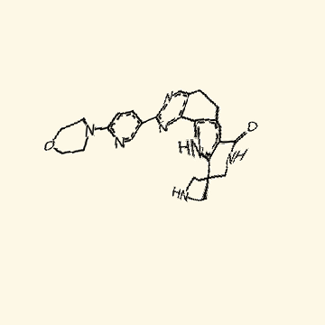 O=C1NCC2(CNC2)c2[nH]c3c(c21)CCc1cnc(-c2ccc(N4CCOCC4)nc2)nc1-3